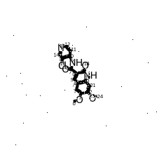 COc1cc2cc(C(=O)Nc3ccncc3Cl)c(=O)[nH]c2cc1OC